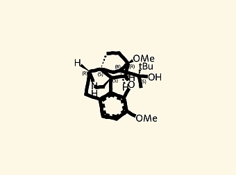 COc1ccc2c3c1O[C@H]1[C@@]4(OC)CC[C@@]5(C[C@@H]4[C@](C)(O)C(C)(C)C)[C@@H](C2)NCC[C@]315